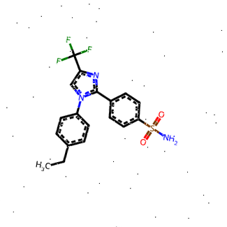 CCc1ccc(-n2cc(C(F)(F)F)nc2-c2ccc(S(N)(=O)=O)cc2)cc1